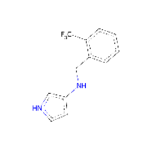 FC(F)(F)c1ccccc1CNc1cc[nH]c1